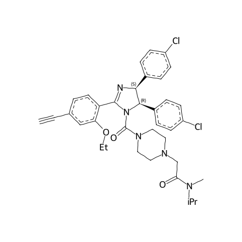 C#Cc1ccc(C2=N[C@@H](c3ccc(Cl)cc3)[C@@H](c3ccc(Cl)cc3)N2C(=O)N2CCN(CC(=O)N(C)C(C)C)CC2)c(OCC)c1